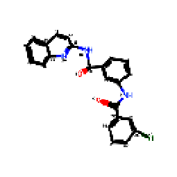 O=C(Nc1cccc(C(=O)Nc2ccc3ccccc3n2)c1)c1cccc(Cl)c1